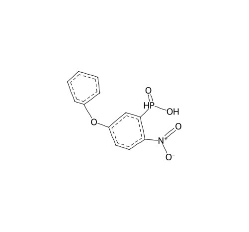 O=[N+]([O-])c1ccc(Oc2ccccc2)cc1[PH](=O)O